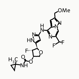 COCc1cc2c(Nc3cc([C@H]4OC[C@@H](OC(=O)NC5(C)CC5)[C@@H]4F)[nH]n3)nc(C(F)F)cn2n1